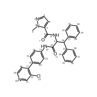 Cn1nccc1C(=O)NC(C(=O)Nc1ccc(-c2ccncc2Cl)cc1)C(c1ccccc1)c1ccccc1